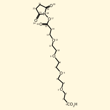 O=C(O)CCOCCOCCOCCOCCC(=O)ON1C(=O)CCC1=O